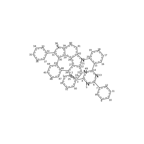 c1ccc(-c2nc(-c3ccccc3)nc(-c3ccccc3-n3c4cccc5c4c4c6c(c(-c7ccccc7)sc6ccc43)-c3ccccc3-5)n2)cc1